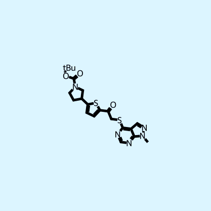 Cn1ncc2c(SCC(=O)c3ccc(C4CCN(C(=O)OC(C)(C)C)C4)s3)ncnc21